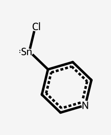 [Cl][Sn][c]1ccncc1